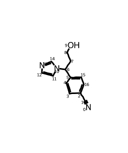 N#Cc1ccc(C(CCO)n2ccnc2)cc1